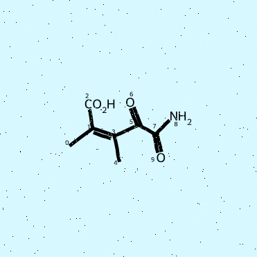 CC(C(=O)O)=C(C)C(=O)C(N)=O